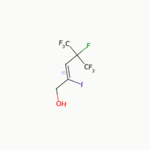 OC/C(I)=C/C(F)(C(F)(F)F)C(F)(F)F